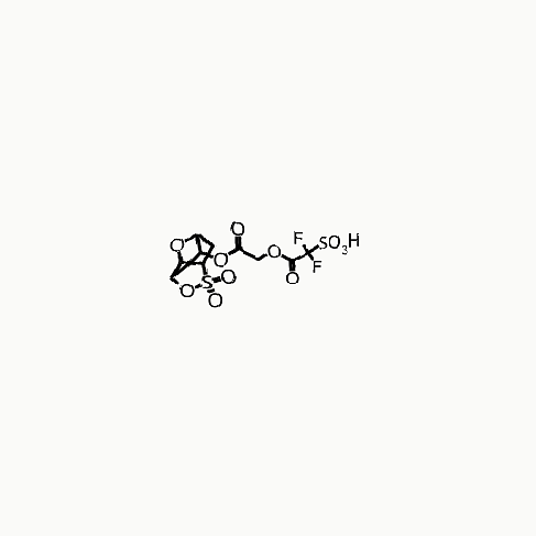 O=C(COC(=O)C(F)(F)S(=O)(=O)O)OC1C2CC3C(O2)C1OS3(=O)=O